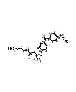 CC(CC(=O)NCCS(=O)(=O)O)Oc1ccc(C(=O)c2ccc(N=C=S)cc2)cc1